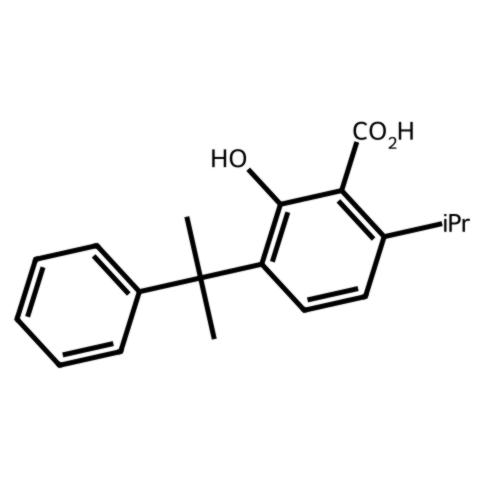 CC(C)c1ccc(C(C)(C)c2ccccc2)c(O)c1C(=O)O